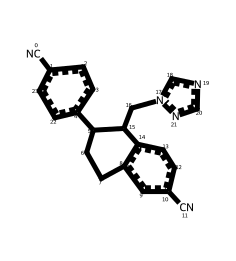 N#Cc1ccc(C2CCc3cc(C#N)ccc3C2Cn2cncn2)cc1